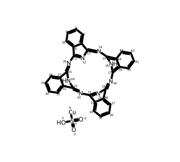 O=[S](=O)(O)[Cu].c1ccc2c(c1)-c1nc-2nc2[nH]c(nc3nc(nc4[nH]c(n1)c1ccccc41)-c1ccccc1-3)c1ccccc21